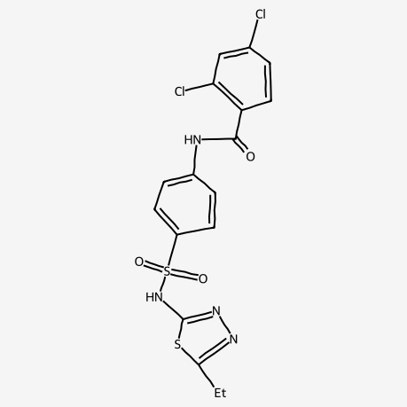 CCc1nnc(NS(=O)(=O)c2ccc(NC(=O)c3ccc(Cl)cc3Cl)cc2)s1